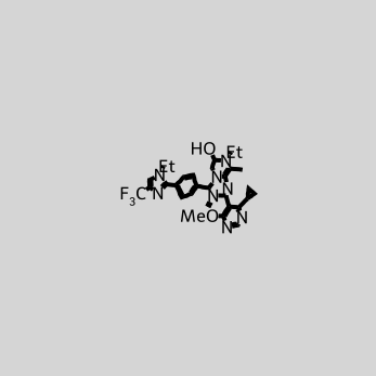 C=N/C(=N\C1=C(C)N(CC)C(O)CN1Cc1ccc(-c2nc(C(F)(F)F)cn2CC)cc1)c1c(OC)ncnc1C1CC1